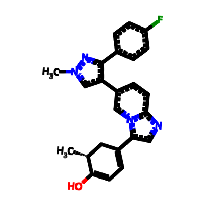 C[C@@H]1CC(c2cnc3ccc(-c4cn(C)nc4-c4ccc(F)cc4)cn23)=CC=C1O